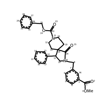 COC(=O)c1cccc(CN2CC(c3ccccc3)C3(CCN(C(=O)OCc4ccccc4)CC3)C2=O)c1